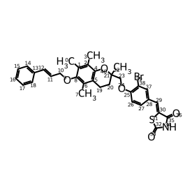 Cc1c(C)c2c(c(C)c1OC/C=C/c1ccccc1)CCC(C)(COc1ccc(/C=C3\SC(=O)NC3=O)cc1Br)O2